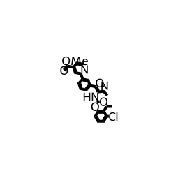 COC(=O)c1ccnc(-c2cccc(-c3onc(C)c3NC(=O)OC(C)c3ccccc3Cl)c2)c1